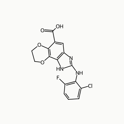 O=C(O)c1cc2nc(Nc3c(F)cccc3Cl)[nH]c2c2c1OCCO2